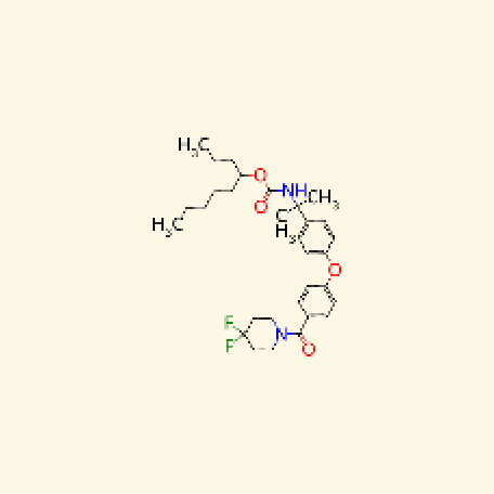 CCCCCC(CCC)OC(=O)NC(C)(C)c1ccc(Oc2ccc(C(=O)N3CCC(F)(F)CC3)cc2)cc1